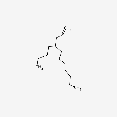 C=CCC(CCCC)CCCCCCC